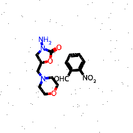 NN1CC(CN2CCOCC2)OC1=O.O=Cc1ccccc1[N+](=O)[O-]